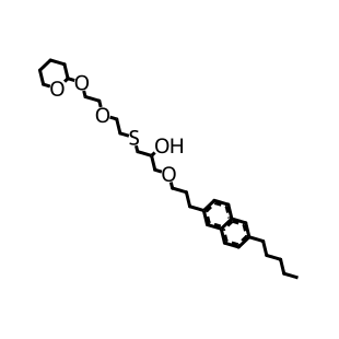 CCCCCc1ccc2cc(CCCOCC(O)CSCCOCCOC3CCCCO3)ccc2c1